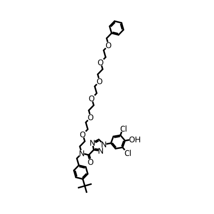 CC(C)(C)c1ccc(CN(CCOCCOCCOCCOCCOCCOCc2ccccc2)C(=O)c2ncn(-c3cc(Cl)c(O)c(Cl)c3)n2)cc1